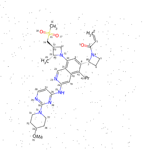 C=CC(=O)N1CC[C@@H]1c1cc(N2C[C@H](CS(C)(=O)=O)[C@H]2C)c2cnc(Nc3ccnc(N4CCC(OC)CC4)n3)cc2c1C(C)C